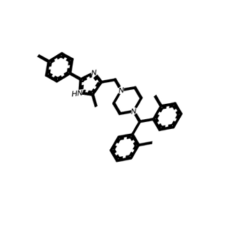 Cc1ccc(-c2nc(CN3CCN(C(c4ccccc4C)c4ccccc4C)CC3)c(C)[nH]2)cc1